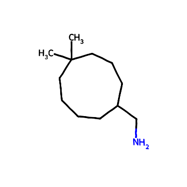 CC1(C)CCCCC(CN)CCC1